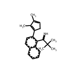 CC1=CCC(c2ccc3ccccc3c2C(=N)C(C)(C)C)=C1C